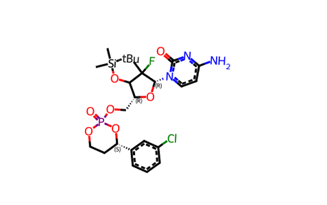 CC1(F)C(O[Si](C)(C)C(C)(C)C)[C@@H](COP2(=O)OCC[C@@H](c3cccc(Cl)c3)O2)O[C@H]1n1ccc(N)nc1=O